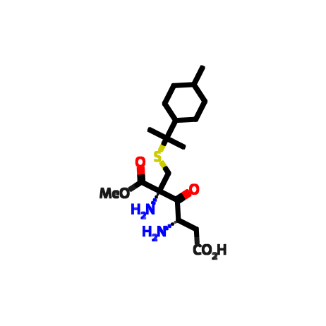 COC(=O)[C@@](N)(CSC(C)(C)C1CCC(C)CC1)C(=O)[C@@H](N)CC(=O)O